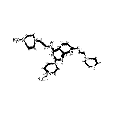 CN1CCN(CCNc2nc(N3CCN(C)CC3)nc3nc(NCCN4CCOCC4)cnc23)CC1